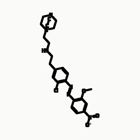 COc1cc([N+](=O)[O-])ccc1N=Nc1ccc(CCNCC[N+]23CCN(CC2)CC3)cc1Cl